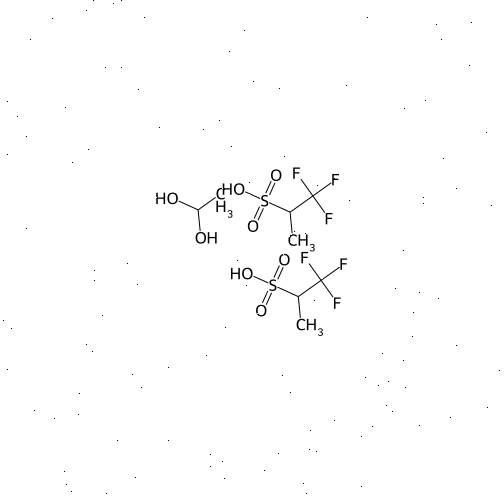 CC(C(F)(F)F)S(=O)(=O)O.CC(C(F)(F)F)S(=O)(=O)O.CC(O)O